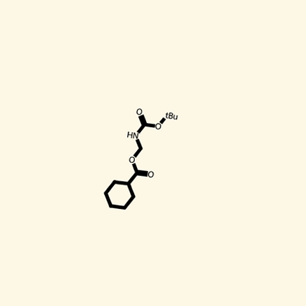 CC(C)(C)OC(=O)NCOC(=O)C1CCCCC1